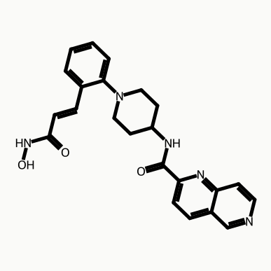 O=C(/C=C/c1ccccc1N1CCC(NC(=O)c2ccc3cnccc3n2)CC1)NO